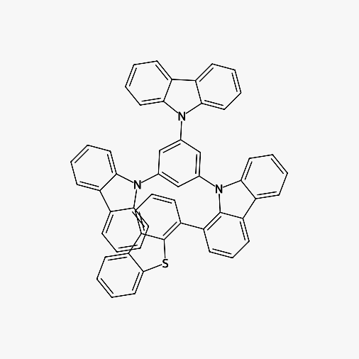 c1ccc2c(c1)sc1c(-c3cccc4c5ccccc5n(-c5cc(-n6c7ccccc7c7ccccc76)cc(-n6c7ccccc7c7ccccc76)c5)c34)cccc12